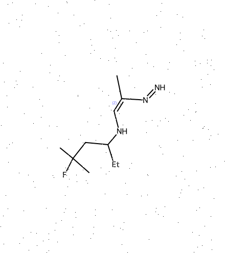 CCC(CC(C)(C)F)N/C=C(/C)N=N